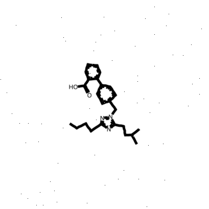 CCCCc1nc(CCC(C)C)n(Cc2ccc(-c3ccccc3C(=O)O)cc2)n1